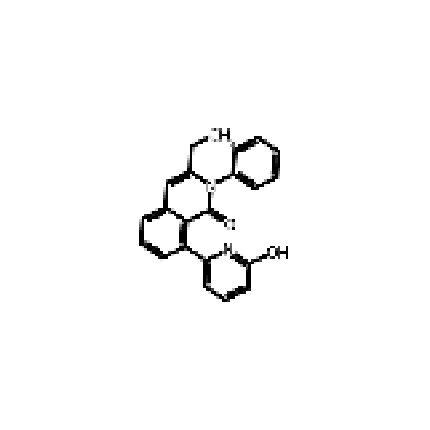 CCc1cc2cccc(-c3cccc(O)n3)c2c(=O)n1-c1ccccc1